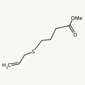 C=CCSCCCC(=O)OC